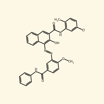 COc1ccc(C(=O)Nc2ccccc2)cc1/N=N/c1c(O)c(C(=O)Nc2cc(Cl)ccc2C)cc2ccccc12